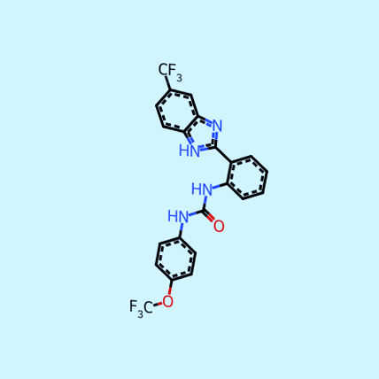 O=C(Nc1ccc(OC(F)(F)F)cc1)Nc1ccccc1-c1nc2cc(C(F)(F)F)ccc2[nH]1